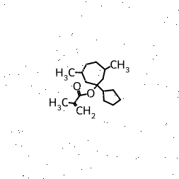 C=C(C)C(=O)OC1(C2CCCC2)CC(C)CCC(C)C1